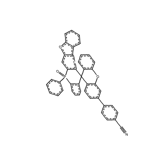 N#Cc1ccc(-c2ccc3c(c2)Oc2ccccc2C32c3ccccc3P(=O)(c3ccccc3)c3cc4oc5ccccc5c4cc32)cc1